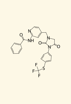 O=C(Nc1cc(CN2CC(=O)N(c3ccc(SC(F)(F)F)cc3)C2=O)ccn1)c1ccccc1